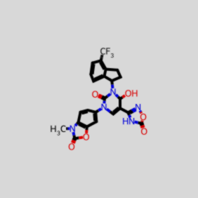 Cn1c(=O)oc2cc(N3C=C(c4noc(=O)[nH]4)C(O)N(C4CCc5c4cccc5C(F)(F)F)C3=O)ccc21